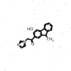 CC1c2ccccc2-c2ccc(C(=O)Cn3ccnc3)cc21.Cl